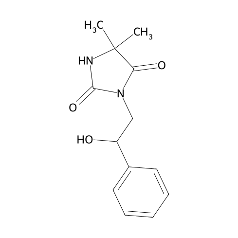 CC1(C)NC(=O)N(CC(O)c2ccccc2)C1=O